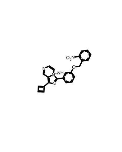 N[N+]12C=CN=CC1=C(C1=CC=C1)N=C2c1cccc(OCc2ccccc2[N+](=O)[O-])c1